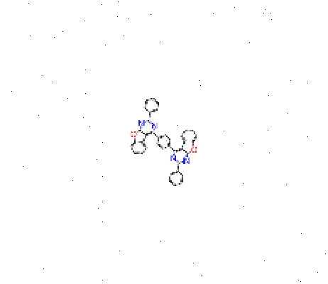 c1ccc(-c2nc(-c3ccc(-c4nc(-c5ccccc5)nc5oc6ccccc6c45)cc3)c3c(n2)oc2ccccc23)cc1